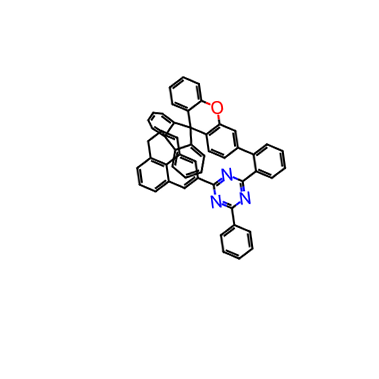 C1=Cc2cc(-c3nc(-c4ccccc4)nc(-c4ccccc4-c4ccc5c(c4)Oc4ccccc4C54c5ccccc5-c5ccccc54)n3)cc3cccc(c23)C1